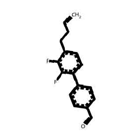 C=CCCc1ccc(-c2ccc(C=O)cc2)c(F)c1F